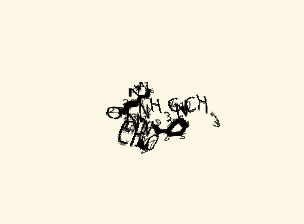 CN(C)c1cccc(C2CN(c3nc(-c4ccncn4)cc(=O)n3C)CCO2)c1